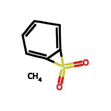 C.O=S1(=O)c2ccccc21